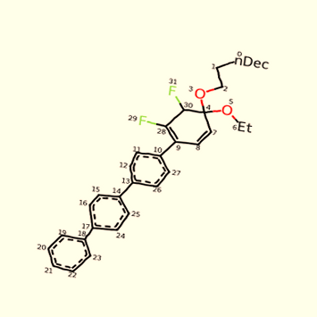 CCCCCCCCCCCCOC1(OCC)C=CC(c2ccc(-c3ccc(-c4ccccc4)cc3)cc2)=C(F)C1F